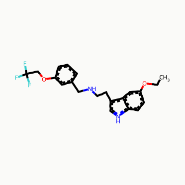 CCOc1ccc2[nH]cc(CCNCc3cccc(OCC(F)(F)F)c3)c2c1